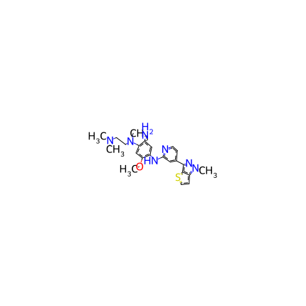 COc1cc(N(C)CCN(C)C)c(N)cc1Nc1cc(-c2nn(C)c3ccsc23)ccn1